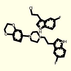 Fc1ccc2[nH]cc(CCCl)c2c1.Fc1ccc2[nH]cc(CCN3CCN(c4ccc5c(c4)OCCO5)CC3)c2c1